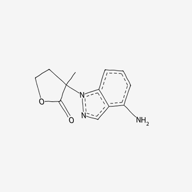 CC1(n2ncc3c(N)cccc32)CCOC1=O